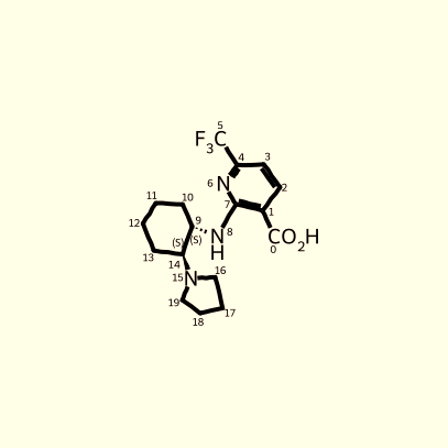 O=C(O)c1ccc(C(F)(F)F)nc1N[C@H]1CCCC[C@@H]1N1CCCC1